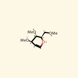 COC[C@H]1OC=C[C@@H](OC)[C@@H]1OC